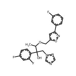 CC(OCc1cc(-c2cccc(F)c2)no1)C(O)(Cn1cncn1)c1ccc(F)cc1F